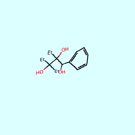 CCC(O)(CC)C(O)(CC)C(O)c1ccccc1